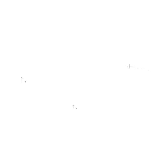 CCCCCCCCCCCCN(C)CCCN(C)C